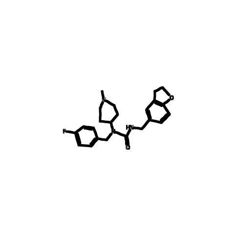 CN1CCC(N(Cc2ccc(F)cc2)C(=O)NCc2ccc3c(c2)CCO3)CC1